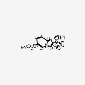 O=C(O)c1ccc2nc(P(=O)(O)O)cn2c1